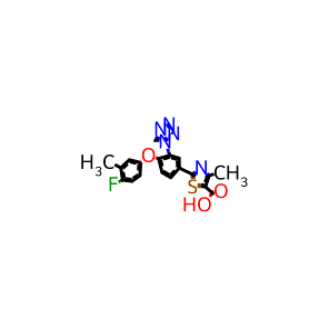 Cc1cc(Oc2ccc(-c3nc(C)c(C(=O)O)s3)cc2-n2cnnn2)ccc1F